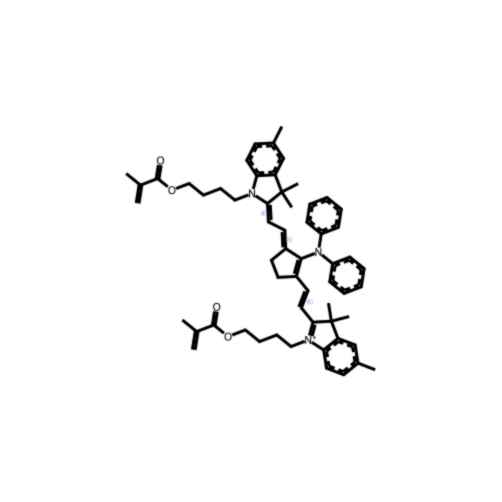 C=C(C)C(=O)OCCCCN1/C(=C/C=C2\CCC(/C=C/C3=[N+](CCCCOC(=O)C(=C)C)c4ccc(C)cc4C3(C)C)=C2N(c2ccccc2)c2ccccc2)C(C)(C)c2cc(C)ccc21